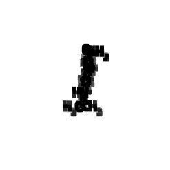 CC(C)CCNCc1ccc(CN2CCc3cc(C(N)=O)ccc32)cc1